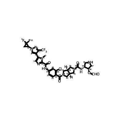 Cn1c(-c2cn(C3CC3(F)F)nc2C(F)(F)F)cnc1C(=O)Nc1ccc(C(=O)N2C[C@H]3CN(C(=O)N[C@@H]4CNC[C@H]4OC=O)C[C@H]3C2)c(Cl)c1